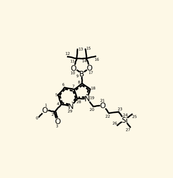 COC(=O)c1ccc2c(B3OC(C)(C)C(C)(C)O3)cn(COCC[Si](C)(C)C)c2n1